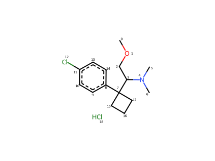 COCC(N(C)C)C1(c2ccc(Cl)cc2)CCC1.Cl